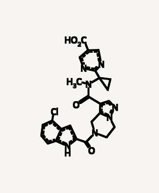 CN(C(=O)c1cnn2c1CN(C(=O)c1cc3c(Cl)cccc3[nH]1)CC2)C1(c2ncc(C(=O)O)cn2)CC1